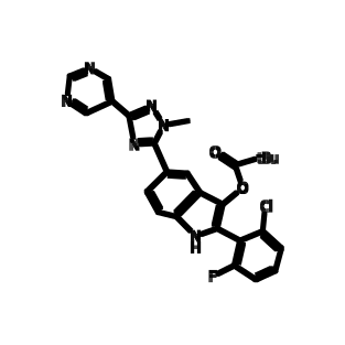 Cn1nc(-c2cncnc2)nc1-c1ccc2[nH]c(-c3c(F)cccc3Cl)c(OC(=O)C(C)(C)C)c2c1